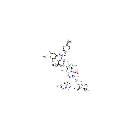 COc1ccc(CN(Cc2ccc(OC)cc2)c2cc(C)c(C(F)(F)F)c(C3=CC4=NC(OC[C@@]56CCCN5C[C@H](F)C6)N(COCC[Si](C)(C)C)C(=O)C4=C(F)C3(F)Cl)n2)cc1